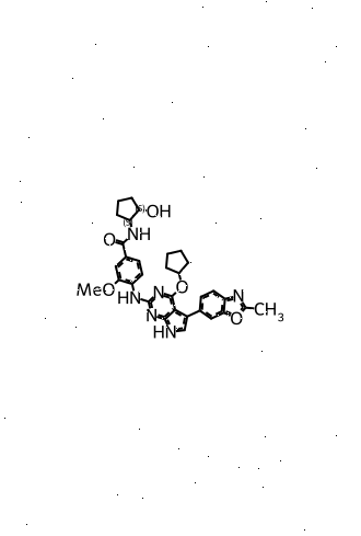 COc1cc(C(=O)N[C@H]2CCC[C@@H]2O)ccc1Nc1nc(OC2CCCC2)c2c(-c3ccc4nc(C)oc4c3)c[nH]c2n1